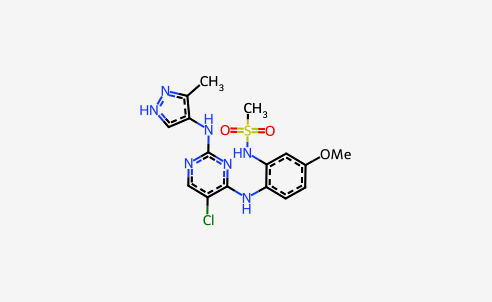 COc1ccc(Nc2nc(Nc3c[nH]nc3C)ncc2Cl)c(NS(C)(=O)=O)c1